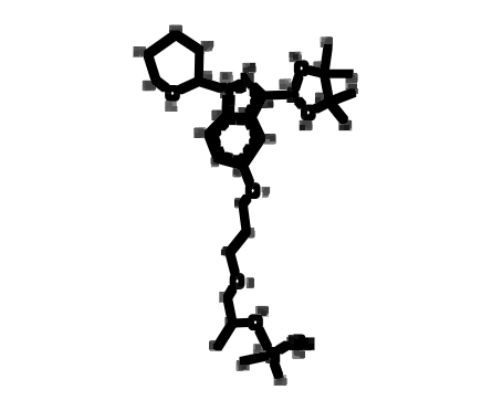 CC(COCCCOc1ccc2c(c1)c(B1OC(C)(C)C(C)(C)O1)nn2C1CCCCO1)O[Si](C)(C)C(C)(C)C